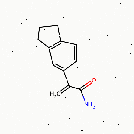 C=C(C(N)=O)c1ccc2c(c1)CCC2